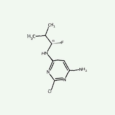 CC(C)[C@H](F)Nc1cc(N)nc(Cl)n1